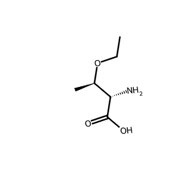 CCO[C@H](C)[C@H](N)C(=O)O